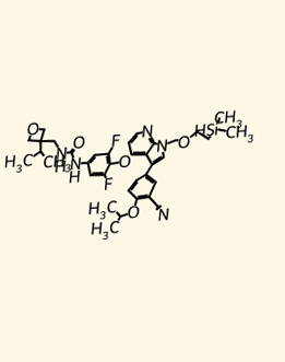 CC(C)Oc1ccc(-c2cn(COCC[SiH](C)C)c3nccc(Oc4c(F)cc(NC(=O)NCC5(C(C)C)COC5)cc4F)c23)cc1C#N